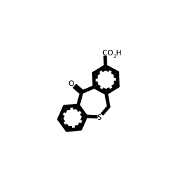 O=C(O)c1ccc2c(c1)C(=O)c1ccccc1SC2